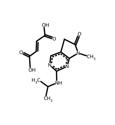 CC(C)Nc1ncc2c(n1)N(C)C(=O)C2.O=C(O)C=CC(=O)O